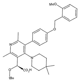 COc1ccccc1COc1ccc(-c2c(C)nc(C)c([C@H](OC(C)(C)C)C(=O)O)c2N2CCC(C)(C)CC2)cc1